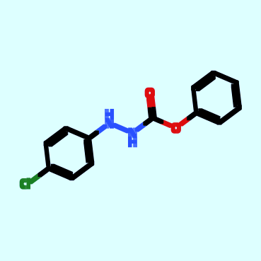 O=C(NNc1ccc(Cl)cc1)Oc1ccccc1